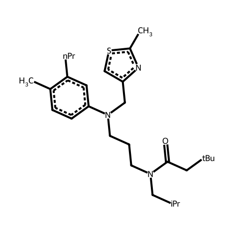 CCCc1cc(N(CCCN(CC(C)C)C(=O)CC(C)(C)C)Cc2csc(C)n2)ccc1C